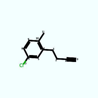 C#CCCc1cc(Cl)ccc1C